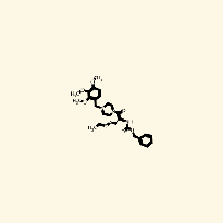 CCSSC[C@H](NC(=O)OCc1ccccc1)C(=O)N1CCN(Cc2ccc(OC)c(OC)c2OC)CC1